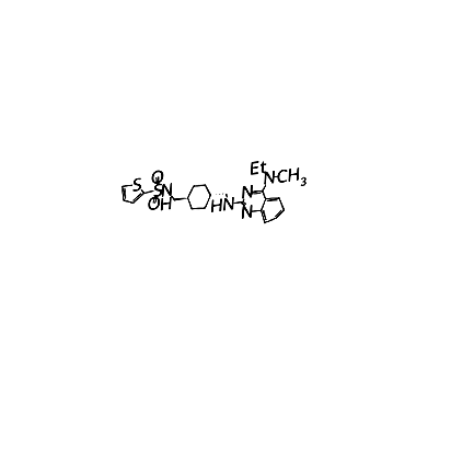 CCN(C)c1nc(NC[C@H]2CC[C@H](CNS(=O)(=O)c3cccs3)CC2)nc2ccccc12